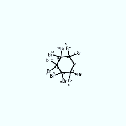 BrC1(Br)CC(Br)(Br)C(Br)(Br)C(Br)(Br)C1(Br)Br